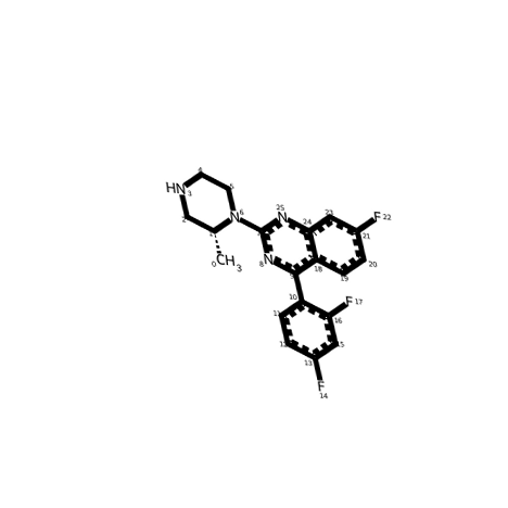 C[C@@H]1CNCCN1c1nc(-c2ccc(F)cc2F)c2ccc(F)cc2n1